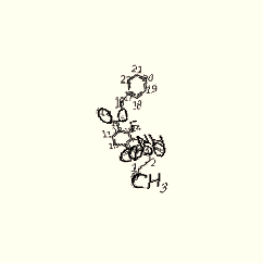 CCCS(=O)(=O)Nc1c(Cl)ccc(C(=O)OCc2ccccc2)c1F